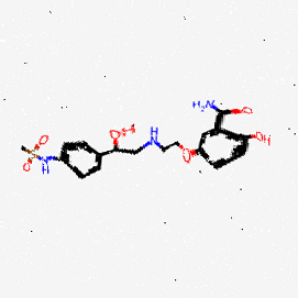 CS(=O)(=O)Nc1ccc(C(O)CNCCOc2ccc(O)c(C(N)=O)c2)cc1